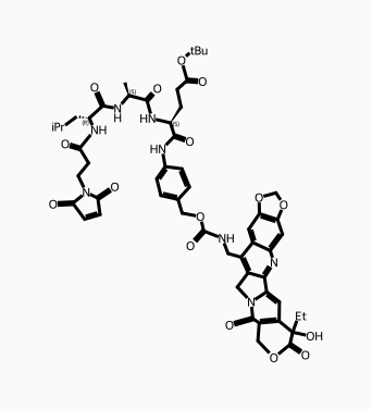 CCC1(O)C(=O)OCc2c1cc1n(c2=O)Cc2c-1nc1cc3c(cc1c2CNC(=O)OCc1ccc(NC(=O)[C@H](CCC(=O)OC(C)(C)C)NC(=O)[C@H](C)NC(=O)[C@@H](CC(C)C)NC(=O)CCN2C(=O)C=CC2=O)cc1)OCO3